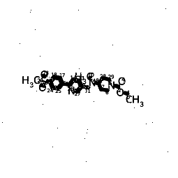 CCOC(=O)N1CCC(N(C)Cc2ccc(-c3ccc(S(C)(=O)=O)cc3)nc2)CC1